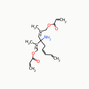 C=C/C=C\CC(N)(C[SiH](C)COC(=O)C=C)[SiH](C)COC(=O)C=C